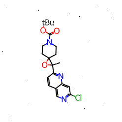 CC(C)(C)OC(=O)N1CCC2(CC1)OC2(C)c1ccc2cnc(Cl)cc2n1